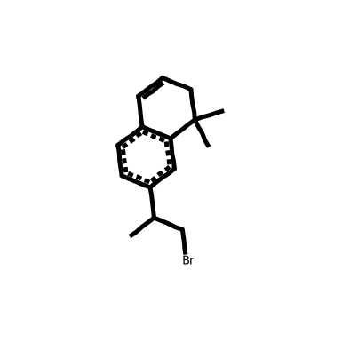 CC(CBr)c1ccc2c(c1)C(C)(C)CC=C2